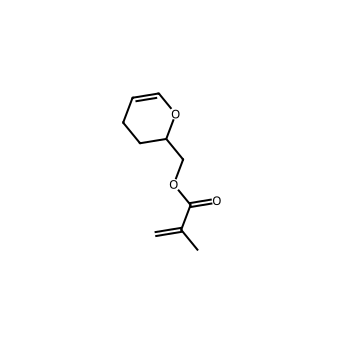 C=C(C)C(=O)OCC1CCC=CO1